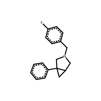 Fc1ccc(CN2CC3CC3(c3ccccc3)C2)cc1